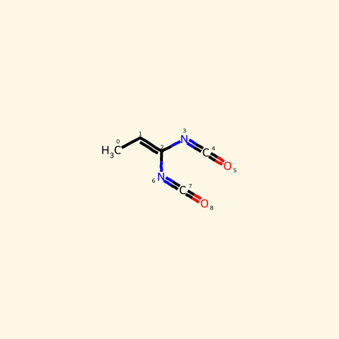 CC=C(N=C=O)N=C=O